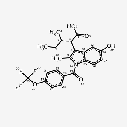 CCC(C)[C@H](C(=O)O)c1c(C)n(C(=O)c2ccc(OC(F)(F)F)cc2)c2ccc(O)cc12